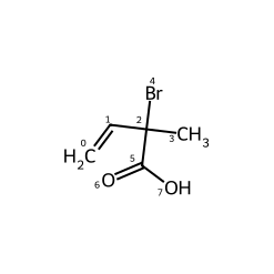 C=CC(C)(Br)C(=O)O